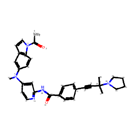 CNC(=O)n1ccc2cc(N(C)c3ccnc(NC(=O)c4ccc(C#CC(C)(C)N5CCCC5)cc4)c3)ccc21